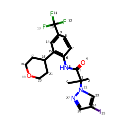 CC(C)(C(=O)Nc1ccc(C(F)(F)F)cc1C1CCOCC1)n1cc(I)cn1